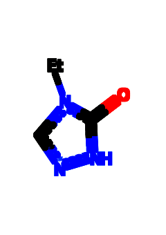 [CH2]Cn1cn[nH]c1=O